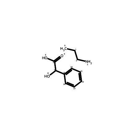 CCCN.O=C(O)C(O)c1ccccc1